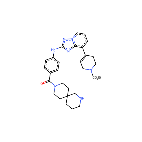 CCOC(=O)N1CC=C(c2cccn3nc(Nc4ccc(C(=O)N5CCC6(CCCNC6)CC5)cc4)nc23)CC1